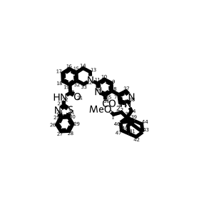 COCCC1(Cn2cc(-c3ccc(N4CCc5cccc(C(=O)Nc6nc7ccccc7s6)c5C4)nc3C(=O)O)cn2)C2CC3CC(C2)CC1C3